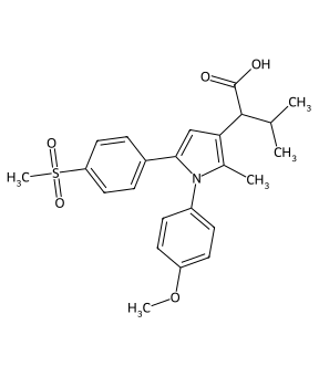 COc1ccc(-n2c(-c3ccc(S(C)(=O)=O)cc3)cc(C(C(=O)O)C(C)C)c2C)cc1